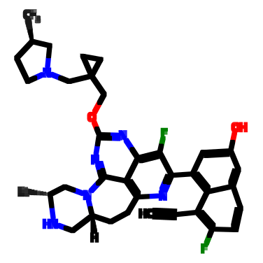 C#Cc1c(F)ccc2cc(O)cc(-c3nc4c5c(nc(OCC6(CN7CC[C@@H](C(F)(F)F)C7)CC6)nc5c3F)N3C[C@@H](CC)NC[C@H]3CC4)c12